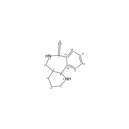 O=C1NCC2CCCNC2c2ccccc21